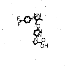 Cc1nnn(-c2ccc(C(F)F)cc2)c1COc1ccc(N2CC[C@@H]2C(=O)O)nn1